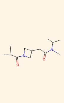 CC(C)C(=O)N1CC(CC(=O)N(C)C(C)C)C1